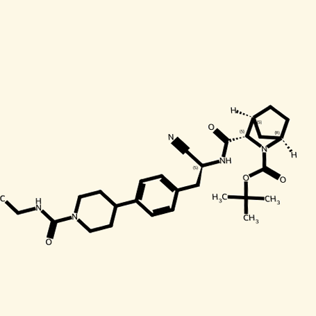 CCNC(=O)N1CCC(c2ccc(C[C@@H](C#N)NC(=O)[C@@H]3[C@H]4CC[C@H](C4)N3C(=O)OC(C)(C)C)cc2)CC1